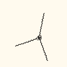 CCCCCCCCCCCCCCCCCCO[Si](C)(OCCCCCCCCCCCCCCCCCC)OCCCCCCCCCCCCCCCCCC